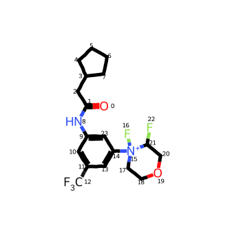 O=C(CC1CCCC1)Nc1cc(C(F)(F)F)cc([N+]2(F)CCOCC2F)c1